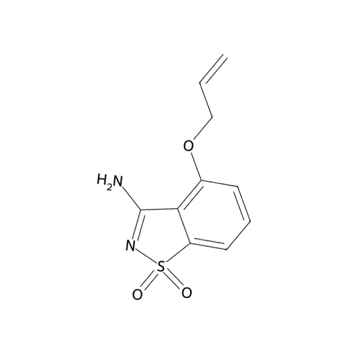 C=CCOc1cccc2c1C(N)=NS2(=O)=O